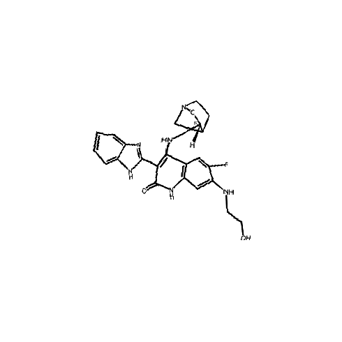 O=c1[nH]c2cc(NCCO)c(F)cc2c(N[C@@H]2CN3CCC2CC3)c1-c1nc2ccccc2[nH]1